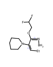 B/N=C(OCC(F)F)\C(=C/CC)N1CCCCC1